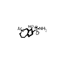 CC(=O)N1CCCc2ccc(S(N)(=O)=O)c([N+](=O)[O-])c2C1